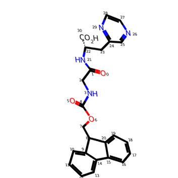 O=C(CNC(=O)OCC1c2ccccc2-c2ccccc21)N[C@@H](Cc1cnccn1)C(=O)O